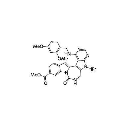 COC(=O)c1ccc2cc3n(c2c1)C(=O)NCc1c-3c2c(NCc3ccc(OC)cc3OC)ncnc2n1C(C)C